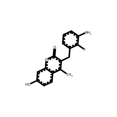 Cc1c(Cc2cccc(N)c2F)c(=O)oc2cc(O)ccc12